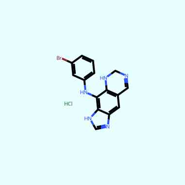 Brc1cccc(Nc2c3c(cc4nc[nH]c24)C=NCN3)c1.Cl